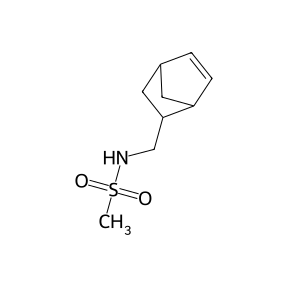 CS(=O)(=O)NCC1CC2C=CC1C2